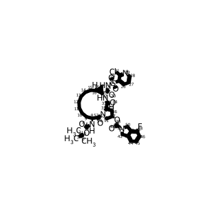 CC(C)(C)OC(=O)N[C@H]1CCCCCCC[C@@H]2C[C@@]2(C(=O)NS(=O)(=O)c2cccnc2Cl)NC(=O)[C@@H]2C[C@@H](OC(=O)N3Cc4cccc(F)c4C3)CN2C1=O